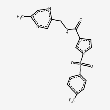 Cc1cnc(CNC(=O)c2ccn(S(=O)(=O)c3ccc(C(F)(F)F)cc3)c2)cn1